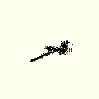 C=NC[C@]1(COP(=O)(O)OC[C@@H](COCCCCCCCCCCCCCCCCC)Oc2ccc(C#N)c(F)c2)O[C@@H](c2ccc3c(N)ncnn23)[C@H](O)[C@@H]1O